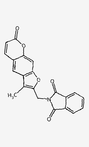 Cc1c(CN2C(=O)c3ccccc3C2=O)oc2cc3oc(=O)ccc3cc12